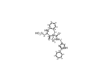 C[N+]1(C(=O)NCc2c[nH]c(-c3ccccc3)n2)Cc2ccccc2NC(CC(=O)O)C1=O